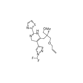 C=CCOCC(F)(COC)CC1=C(c2cnn(C(F)F)c2)CN=C(c2nccs2)N1